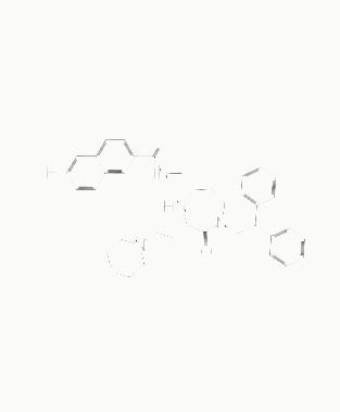 O=C(NC[C@@H]1CCN(CC(c2ccccc2)c2ccccc2)C(=O)[C@H](CCN2CCOCC2)N1)c1ccc2cc(Cl)ccc2c1